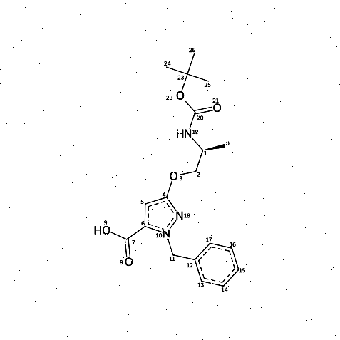 C[C@@H](COc1cc(C(=O)O)n(Cc2ccccc2)n1)NC(=O)OC(C)(C)C